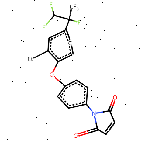 CCc1cc(C(F)(C(F)F)C(F)(F)F)ccc1Oc1ccc(N2C(=O)C=CC2=O)cc1